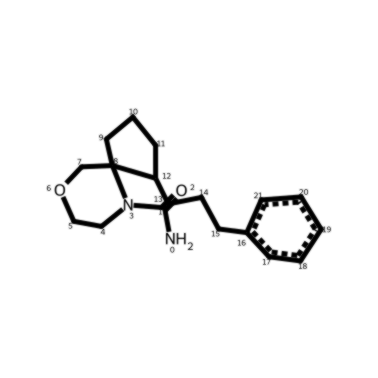 NC(=O)N1CCOCC12CCCC2CCCc1ccccc1